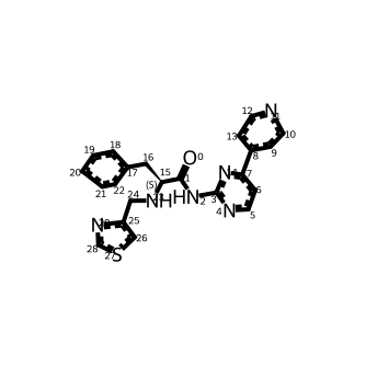 O=C(Nc1nccc(-c2ccncc2)n1)[C@H](Cc1ccccc1)NCc1cscn1